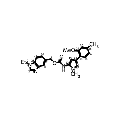 CCn1cnc2cc(COC(=O)Nc3cc(-c4ccc(C)cc4OC)nn3C)ccc21